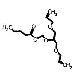 C=CCOCC(COCC=C)OCOC(=O)CCCC